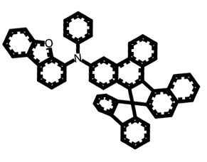 c1ccc(N(c2ccc3c4c(c5ccccc5c3c2)-c2c(ccc3ccccc23)C42c3ccccc3-c3ccccc32)c2cccc3c2oc2ccccc23)cc1